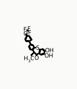 CCC1C(=O)c2cc(O)c(O)cc2Sc2cc(-c3ccc(OC(F)(F)F)cc3)ccc21